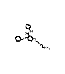 NCCOCCOc1ccc(OCc2ccccc2)c(C(=O)Nc2cccnc2)c1